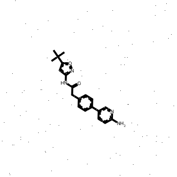 CC(C)(C)c1cc(NC(=O)Cc2ccc(-c3ccc(N)nc3)cc2)no1